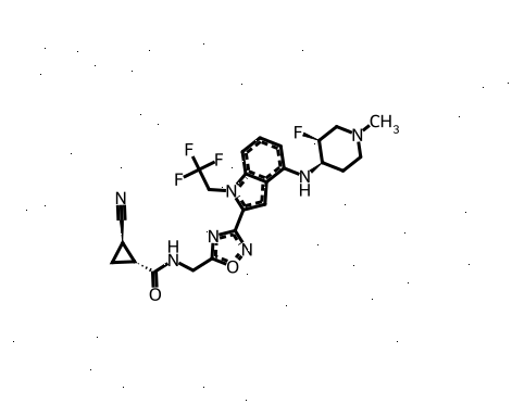 CN1CC[C@@H](Nc2cccc3c2cc(-c2noc(CNC(=O)[C@@H]4C[C@H]4C#N)n2)n3CC(F)(F)F)[C@@H](F)C1